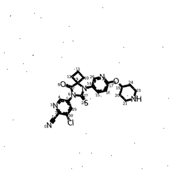 N#Cc1ncc(N2C(=O)C3(CCC3)N(c3ccc(OC4CCNCC4)nc3)C2=S)cc1Cl